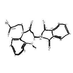 COc1ccccc1N(CC(=O)O)C(=O)CN1C(=O)c2ccccc2C1=O